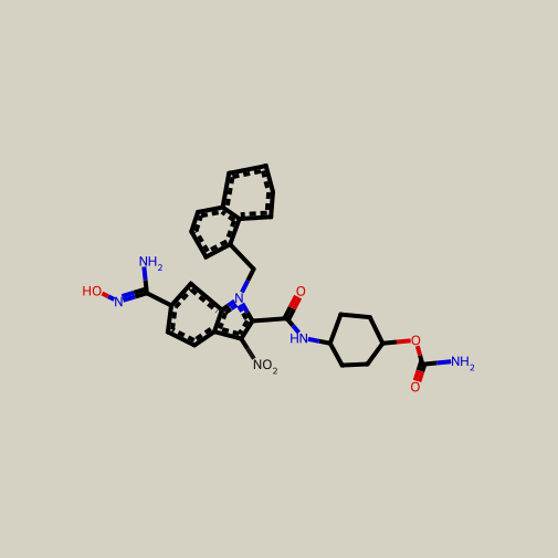 NC(=O)OC1CCC(NC(=O)c2c([N+](=O)[O-])c3ccc(C(N)=NO)cc3n2Cc2cccc3ccccc23)CC1